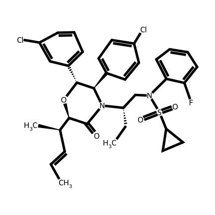 C/C=C/[C@@H](C)[C@H]1O[C@H](c2cccc(Cl)c2)[C@@H](c2ccc(Cl)cc2)N([C@@H](CC)CN(c2ccccc2F)S(=O)(=O)C2CC2)C1=O